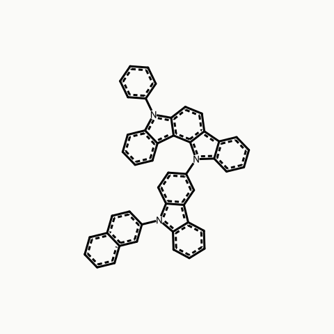 c1ccc(-n2c3ccccc3c3c2ccc2c4ccccc4n(-c4ccc5c(c4)c4ccccc4n5-c4ccc5ccccc5c4)c23)cc1